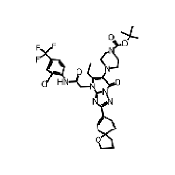 CCc1c(N2CCN(C(=O)OC(C)(C)C)CC2)c(=O)n2nc(C3=CCC4(CCCO4)CC3)nc2n1CC(=O)Nc1ccc(C(F)(F)F)cc1Cl